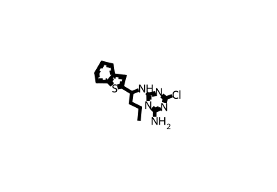 CCCC(Nc1nc(N)nc(Cl)n1)c1cc2ccccc2s1